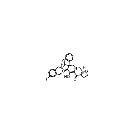 O=C1C2=C(O)C(=O)C(C(=O)NCc3ccc(F)cc3F)(c3ccccc3)CN2C[C@H]2OCCN12